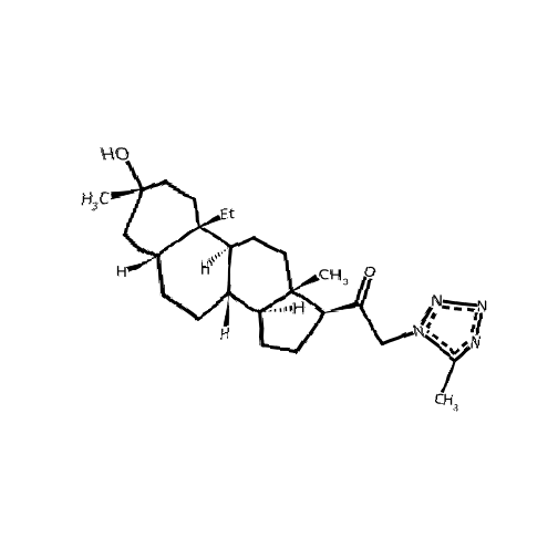 CC[C@]12CC[C@@](C)(O)C[C@H]1CC[C@H]1[C@@H]3CC[C@H](C(=O)Cn4nnnc4C)[C@@]3(C)CC[C@@H]12